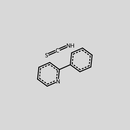 N=C=S.c1ccc(-c2ccccn2)cc1